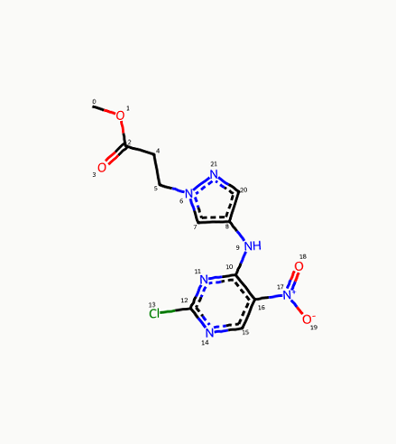 COC(=O)CCn1cc(Nc2nc(Cl)ncc2[N+](=O)[O-])cn1